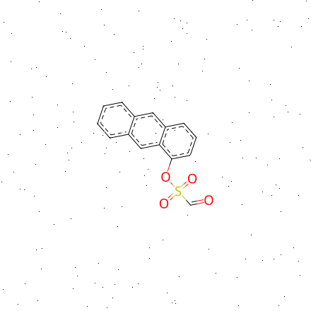 O=CS(=O)(=O)Oc1cccc2cc3ccccc3cc12